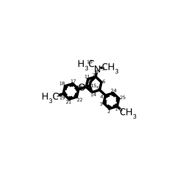 Cc1ccc(C2CC3(N(C)C)CC(=O)C2C(c2ccc(C)cc2)C3)cc1